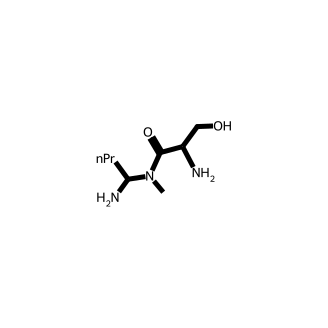 CCCC(N)N(C)C(=O)C(N)CO